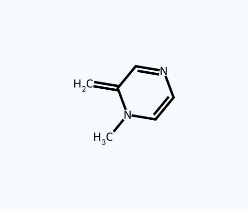 C=C1C=NC=CN1C